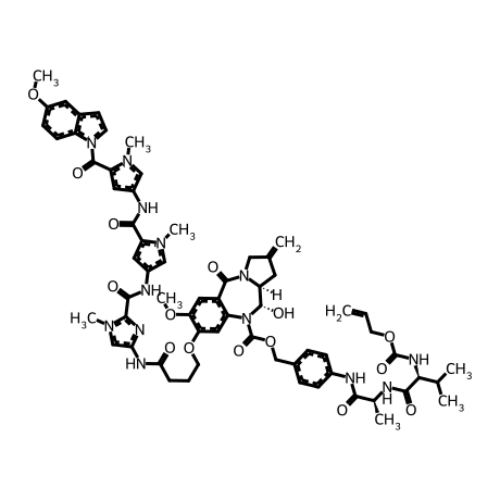 C=CCOC(=O)N[C@H](C(=O)N[C@@H](C)C(=O)Nc1ccc(COC(=O)N2c3cc(OCCCC(=O)Nc4cn(C)c(C(=O)Nc5cc(C(=O)Nc6cc(C(=O)n7ccc8cc(OC)ccc87)n(C)c6)n(C)c5)n4)c(OC)cc3C(=O)N3CC(=C)C[C@H]3[C@@H]2O)cc1)C(C)C